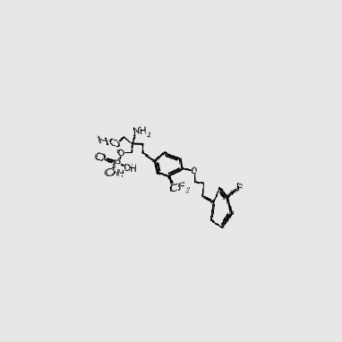 NC(CO)(CCc1ccc(OCCCc2cccc(F)c2)c(C(F)(F)F)c1)COP(=O)(O)O